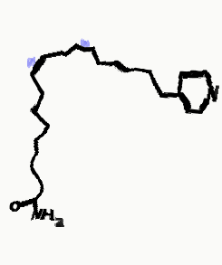 NC(=O)CCCCCCC/C=C\C/C=C\CCCCCc1ccncc1